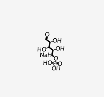 O=C[C@H](O)[C@H](O)[C@H](O)COP(=O)(O)O.[NaH]